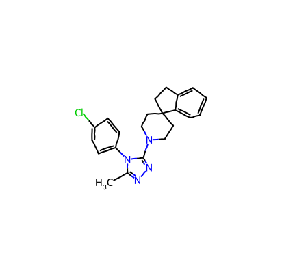 Cc1nnc(N2CCC3(CCc4ccccc43)CC2)n1-c1ccc(Cl)cc1